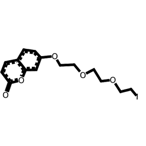 O=c1ccc2ccc(OCCOCCOCCI)cc2o1